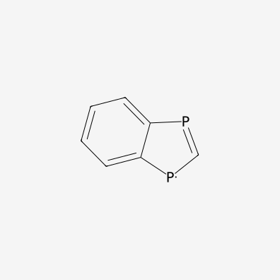 C1=Pc2ccccc2[P]1